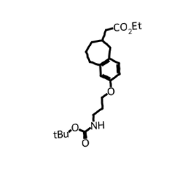 CCOC(=O)CC1CCCc2cc(OCCCNC(=O)OC(C)(C)C)ccc2C1